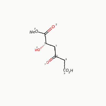 COC(=O)[C@@H](O)CC(=O)CC(=O)O